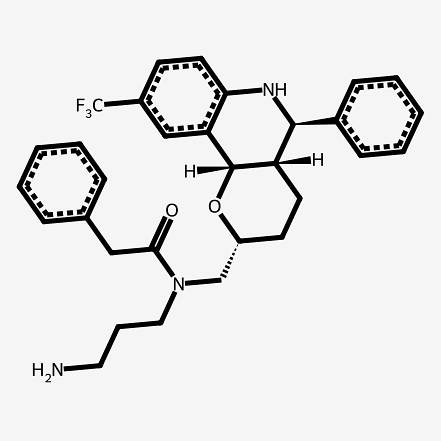 NCCCN(C[C@H]1CC[C@@H]2[C@H](O1)c1cc(C(F)(F)F)ccc1N[C@H]2c1ccccc1)C(=O)Cc1ccccc1